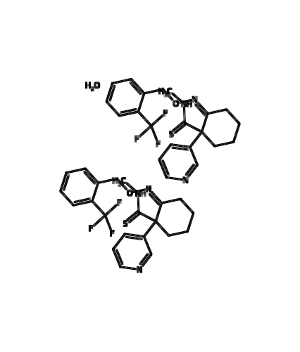 CNC(=S)C1(c2cccnc2)CCCC/C1=N/OCc1ccccc1C(F)(F)F.CNC(=S)C1(c2cccnc2)CCCC/C1=N/OCc1ccccc1C(F)(F)F.O